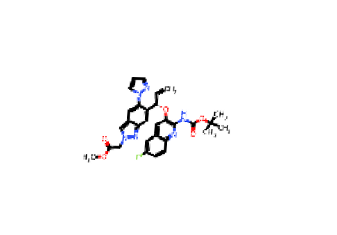 C=C[C@H](Oc1cc2cc(F)ccc2nc1NC(=O)OC(C)(C)C)c1cc2nn(CC(=O)OC)cc2cc1-n1cccn1